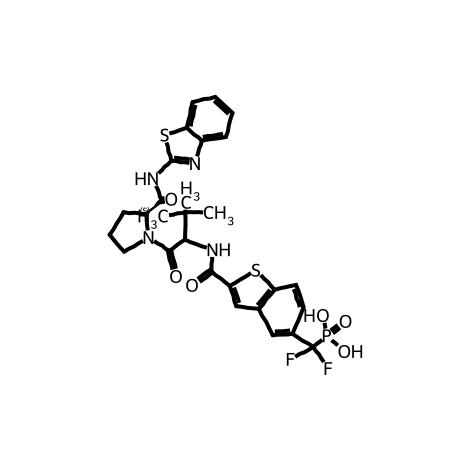 CC(C)(C)C(NC(=O)c1cc2cc(C(F)(F)P(=O)(O)O)ccc2s1)C(=O)N1CCC[C@H]1C(=O)Nc1nc2ccccc2s1